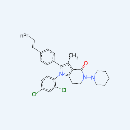 CCCC=Cc1ccc(-c2c(C)c3c(n2-c2ccc(Cl)cc2Cl)CCN(N2CCCCC2)C3=O)cc1